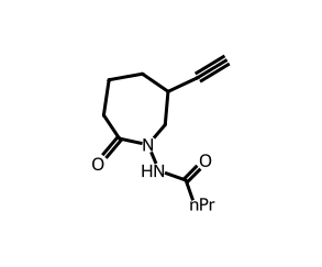 C#CC1CCCC(=O)N(NC(=O)CCC)C1